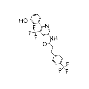 O=C(CCc1ccc(C(F)(F)F)cc1)Nc1cnc(-c2cccc(O)c2)c(C(F)(F)F)c1